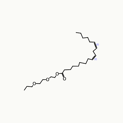 CCCCC/C=C\C/C=C\CCCCCCCC(=O)OCCOCCOCCC